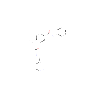 CC[C@H](OC(=O)N[C@@H](C)c1cccnc1)c1ccc(C(=O)Nc2ccccc2O)cc1